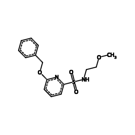 COCCNS(=O)(=O)c1cccc(OCc2ccccc2)n1